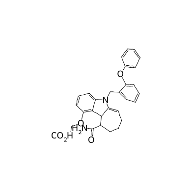 NC(=O)C1CCCC=C2C1c1c(OCC(=O)O)cccc1N2Cc1ccccc1Oc1ccccc1